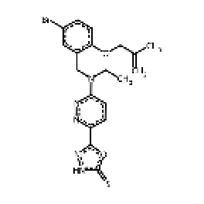 C=C(C)COc1ccc(Br)cc1CN(CC)c1ccc(-c2n[nH]c(=S)o2)nn1